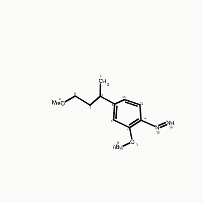 CCCCOc1cc(C(C)CCOC)ccc1N=N